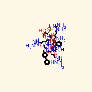 C[C@@H](NC(=O)[C@H](CS)NC(=O)[C@@H](N)CCCNC(=N)N)C(=O)N[C@@H](CCCNC(=N)N)C(=O)N[C@H](Cc1ccc(-c2ccccc2)cc1)C(=O)N[C@@H](CCCNC(=N)N)C(=O)N[C@H](Cc1c[nH]c2ccccc12)C(=O)N[C@@H](CS)C(=O)O